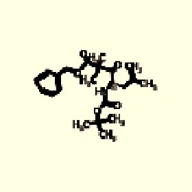 C=C(C)C[C@H](NC(=O)OC(C)(C)C)C(=O)C(C)(C)C(=O)OCc1ccccc1